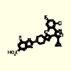 O=C(O)c1cc(F)c2nc(N3CCC4(C=C(c5c(-c6c(Cl)cc(F)cc6Cl)noc5C5CC5)C4)CC3)sc2c1